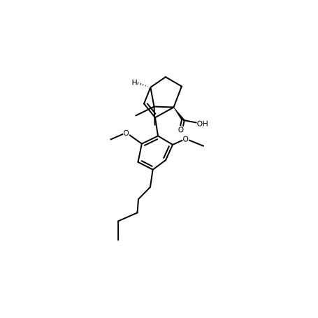 CCCCCc1cc(OC)c(C2=C[C@H]3CC[C@@]2(C(=O)O)C3(C)C)c(OC)c1